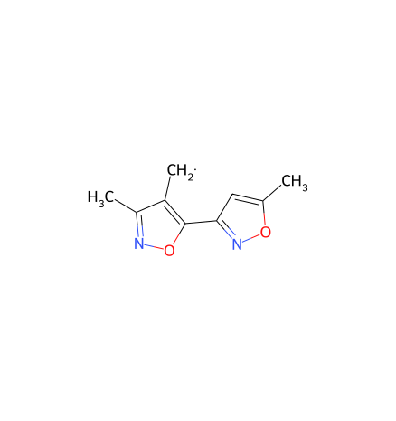 [CH2]c1c(C)noc1-c1cc(C)on1